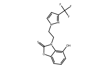 Oc1cccc2oc(=S)n(CCn3ccc(C(F)(F)F)n3)c12